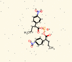 CCCC(C(=O)O[PH](=O)OC(=O)C(CCC)c1ccc([N+](=O)[O-])cc1)c1ccc([N+](=O)[O-])cc1